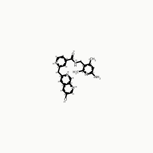 Cc1cc(N)nc(C)c1CNC(=O)c1ccnc(Cc2cc3cc(Cl)cnc3cn2)c1